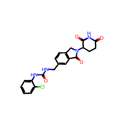 O=C1CCC(N2Cc3ccc(CNC(=O)Nc4ccccc4Cl)cc3C2=O)C(=O)N1